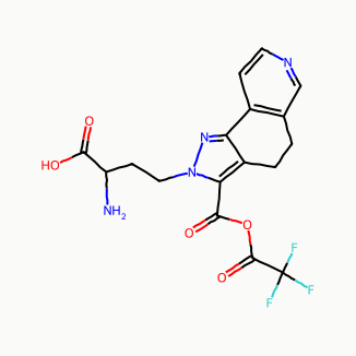 NC(CCn1nc2c(c1C(=O)OC(=O)C(F)(F)F)CCc1cnccc1-2)C(=O)O